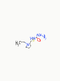 CCN1CCCC1CSNC(N)=O